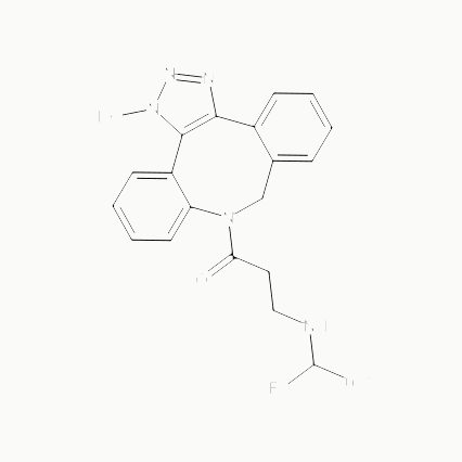 CCCC(CC)NCCC(=O)N1Cc2ccccc2-c2nnn(C)c2-c2ccccc21